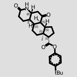 CC(C)(C)c1ccc(OC(=O)[C@H]2CC[C@H]3[C@@H]4C(=O)C[C@H]5NC(=O)CC[C@]5(C)[C@H]4CC[C@]23C)cc1